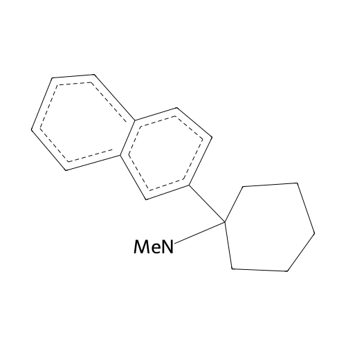 CNC1(c2ccc3ccccc3c2)CCCCC1